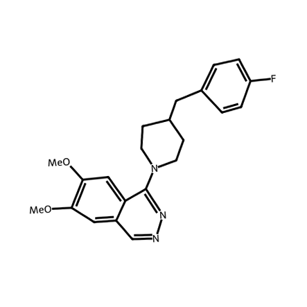 COc1cc2cnnc(N3CCC(Cc4ccc(F)cc4)CC3)c2cc1OC